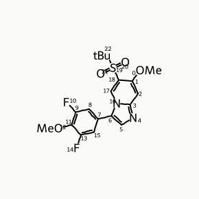 COc1cc2ncc(-c3cc(F)c(OC)c(F)c3)n2cc1S(=O)(=O)C(C)(C)C